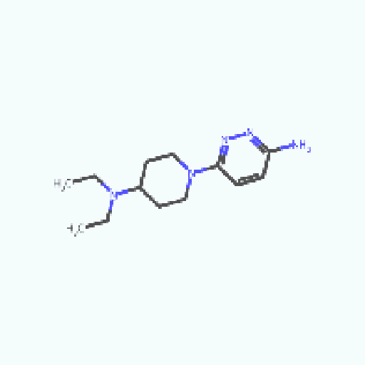 CCN(CC)C1CCN(c2ccc(N)nn2)CC1